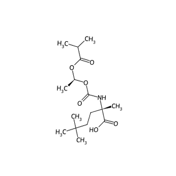 CC(C)C(=O)O[C@H](C)OC(=O)N[C@@](C)(CCC(C)(C)C)C(=O)O